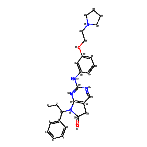 CCC(c1ccccc1)N1C(=O)Cc2cnc(Nc3cccc(OCCN4CCCC4)c3)nc21